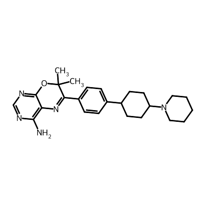 CC1(C)Oc2ncnc(N)c2N=C1c1ccc(C2CCC(N3CCCCC3)CC2)cc1